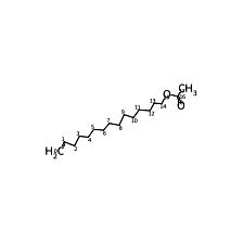 C=CCCCCCCCCCCCCCOC(C)=O